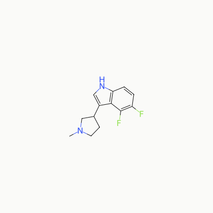 CN1CCC(c2c[nH]c3ccc(F)c(F)c23)C1